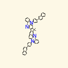 CC1(C)c2cc(N(c3ccc(-c4ccc5ccccc5c4)cc3)c3ccccc3C#N)ccc2-c2cc3ccc(N(c4ccc(-c5ccc6ccccc6c5)cc4)c4ccccc4C#N)cc3cc21